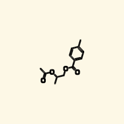 CC(=O)OC(C)COC(=O)c1ccc(C)cc1